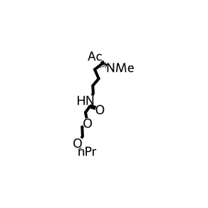 CCCOCCOCC(=O)NCCCC[C@H](NC)C(C)=O